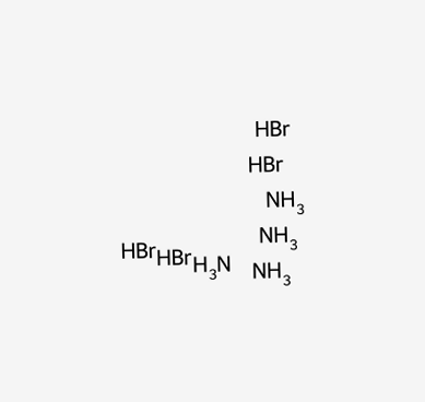 Br.Br.Br.Br.N.N.N.N